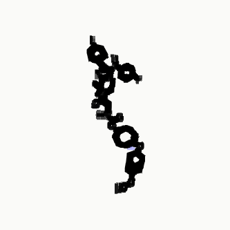 CC1(C)c2nc(-c3ccc(F)cc3)c(Nc3ccc(F)cc3)n2CCN1C(=O)CNC(=O)OC1CC/C=C(/OC2CC3CC(CC(OO)C3)C2)CCC1